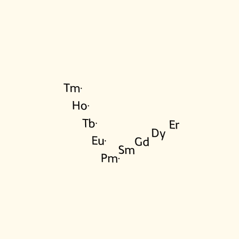 [Dy].[Er].[Eu].[Gd].[Ho].[Pm].[Sm].[Tb].[Tm]